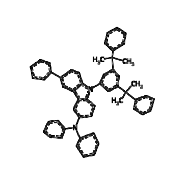 CC(C)(c1ccccc1)c1cc(-n2c3ccc(-c4ccccc4)cc3c3cc(N(c4ccccc4)c4ccccc4)ccc32)cc(C(C)(C)c2ccccc2)c1